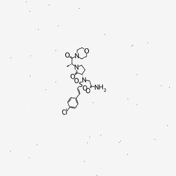 C[C@@H](C(=O)N1CCOCC1)N1CC[C@H](N(CC(N)=O)S(=O)(=O)/C=C/c2ccc(Cl)cc2)C1=O